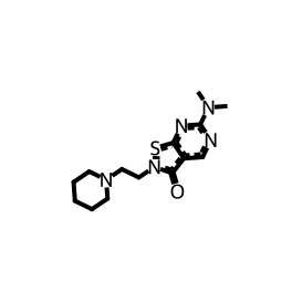 CN(C)c1ncc2c(=O)n(CCN3CCCCC3)sc2n1